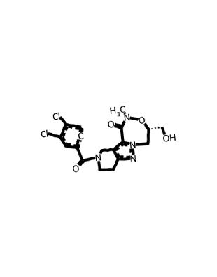 CN1O[C@H](CO)Cn2nc3c(c2C1=O)CN(C(=O)c1ccc(Cl)c(Cl)c1)CC3